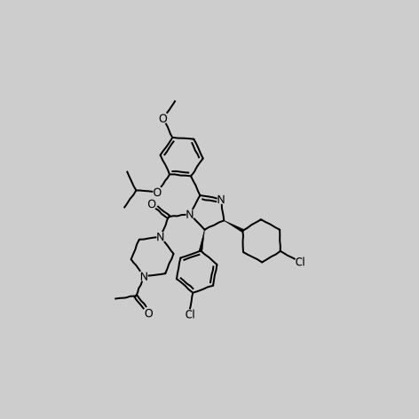 COc1ccc(C2=N[C@@H](C3CCC(Cl)CC3)[C@@H](c3ccc(Cl)cc3)N2C(=O)N2CCN(C(C)=O)CC2)c(OC(C)C)c1